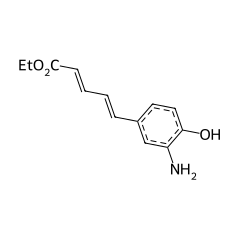 CCOC(=O)C=CC=Cc1ccc(O)c(N)c1